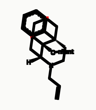 C=CCN1CC[C@]23CCCC[C@@]2(OCCCCC)[C@H]1Cc1ccccc13